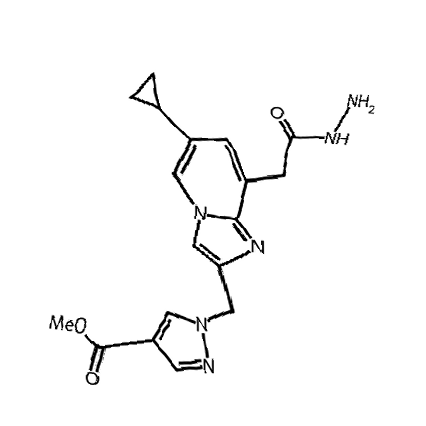 COC(=O)c1cnn(Cc2cn3cc(C4CC4)cc(CC(=O)NN)c3n2)c1